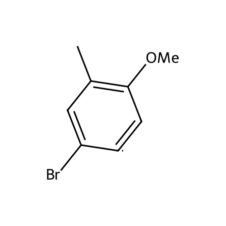 COc1c[c]c(Br)cc1C